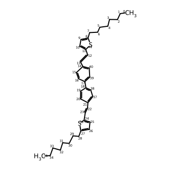 CCCCCCCCc1ccc(C=Cc2ccc(-c3ccc(C=Cc4ccc(CCCCCCCC)s4)cc3)cc2)s1